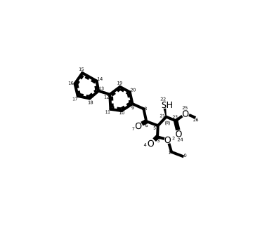 CCOC(=O)C(C(=O)Cc1ccc(-c2ccccc2)cc1)[C@@H](S)C(=O)OC